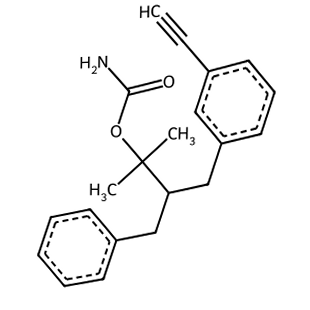 C#Cc1cccc(CC(Cc2ccccc2)C(C)(C)OC(N)=O)c1